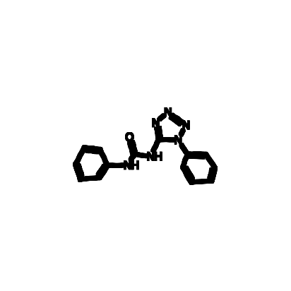 O=C(Nc1ccccc1)Nc1nnnn1-c1ccccc1